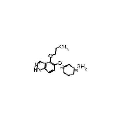 CCCOc1c(O[C@H]2CCC[C@@H](N)C2)ccc2[nH]ncc12